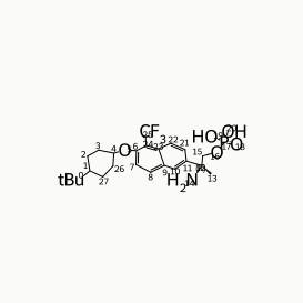 CC(C)(C)C1CCC(Oc2ccc3cc([C@@](C)(N)COP(=O)(O)O)ccc3c2C(F)(F)F)CC1